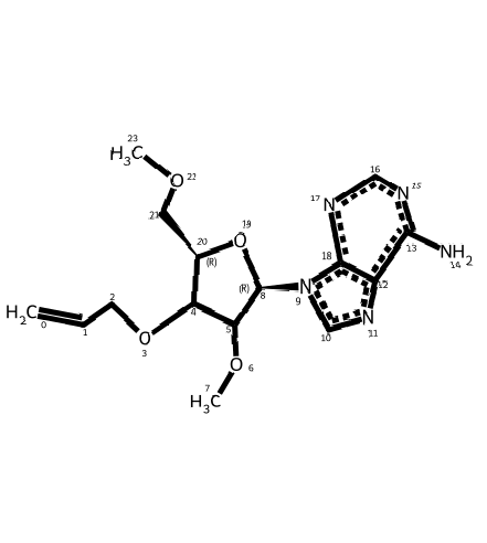 C=CCOC1C(OC)[C@H](n2cnc3c(N)ncnc32)O[C@@H]1COC